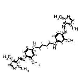 Cc1cc(NCCCCNc2ccc(N=Nc3n(C)nc[n+]3C)c(C)c2)ccc1N=Nc1n(C)nc[n+]1C